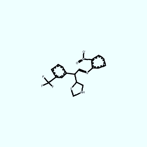 O=[N+]([O-])c1ccccc1N=CC(c1cccc(C(F)(F)F)c1)C1CNCS1